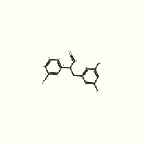 Cc1cc(C)cc(CC(C=O)c2cccc(F)c2)c1